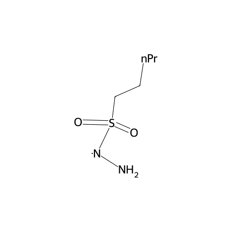 CCCCCS(=O)(=O)[N]N